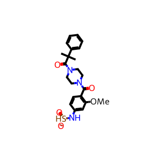 COc1cc(N[SH](=O)=O)ccc1C(=O)N1CCN(C(=O)C(C)(C)c2ccccc2)CC1